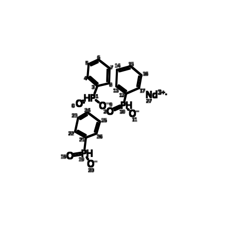 O=[PH]([O-])c1ccccc1.O=[PH]([O-])c1ccccc1.O=[PH]([O-])c1ccccc1.[Nd+3]